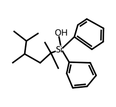 CC(C)C(C)CC(C)(C)[Si](O)(c1ccccc1)c1ccccc1